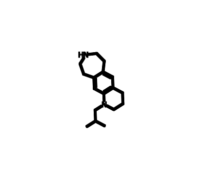 CC(C)CN1CCCc2cc3c(cc21)CCNCC3